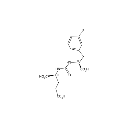 O=C(O)CC[C@H](NC(=O)N[C@@H](Cc1cccc(F)c1)C(=O)O)C(=O)O